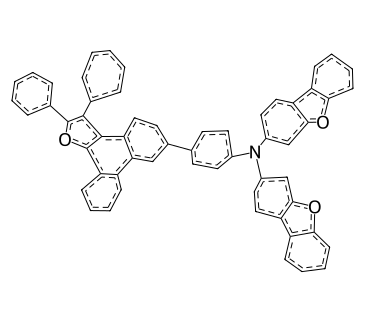 c1ccc(-c2oc3c4ccccc4c4cc(-c5ccc(N(c6ccc7c(c6)oc6ccccc67)c6ccc7c(c6)oc6ccccc67)cc5)ccc4c3c2-c2ccccc2)cc1